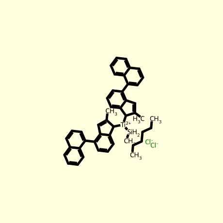 CCCCCC.C[SiH2][Ti+2]([CH]1C(C)=Cc2c(-c3cccc4ccccc34)cccc21)[CH]1C(C)=Cc2c(-c3cccc4ccccc34)cccc21.[Cl-].[Cl-]